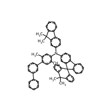 Cc1cc(N(c2ccc3c(c2)C(C)(C)c2ccccc2-3)c2ccc3c(c2)C2(c4ccccc4-3)c3ccccc3C(C)(C)c3ccccc32)c(C)cc1-c1cccc(-c2ccccc2)c1